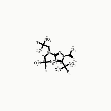 O=C(n1nc(N(CC(F)([N+](=O)[O-])[N+](=O)[O-])CC(F)([N+](=O)[O-])[N+](=O)[O-])nc1C(F)([N+](=O)[O-])[N+](=O)[O-])C(F)(F)F